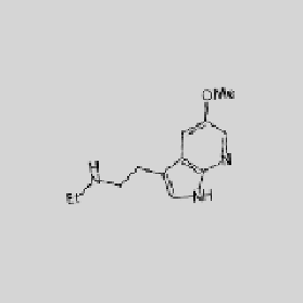 CCNCCc1c[nH]c2ncc(OC)cc12